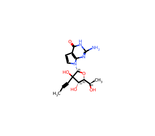 CC#CC1(O)[C@@H](O)[C@@H]([C@@H](C)O)O[C@H]1n1ccc2c(=O)[nH]c(N)nc21